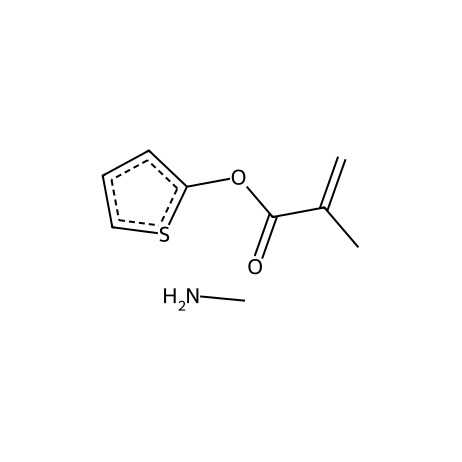 C=C(C)C(=O)Oc1cccs1.CN